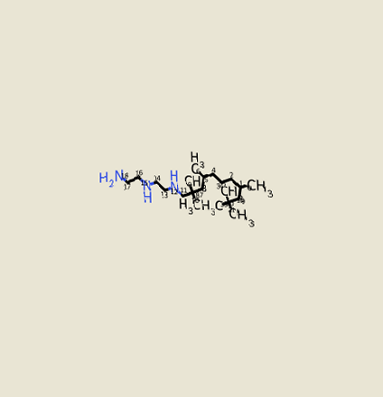 CC(CCCC(C)CC(C)(C)CNCCNCCN)CC(C)(C)C